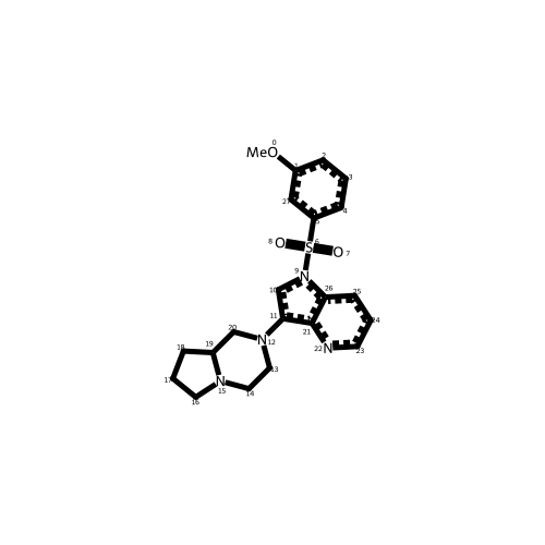 COc1cccc(S(=O)(=O)n2cc(N3CCN4CCCC4C3)c3ncccc32)c1